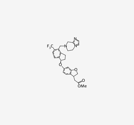 COC(=O)CC1COc2cc(O[C@@H]3CCc4c3ccc(C(F)(F)F)c4CN3CCn4ccnc4C3)ccc21